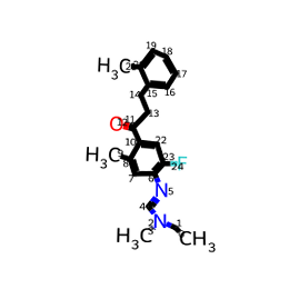 CCN(C)C=Nc1cc(C)c(C(=O)CCc2ccccc2C)cc1F